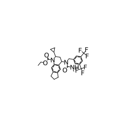 CCOC(=O)N1c2cc3c(cc2C(N(Cc2cc(C(F)(F)F)cc(C(F)(F)F)c2)C(=O)NC)CC1C1CC1)CCC3